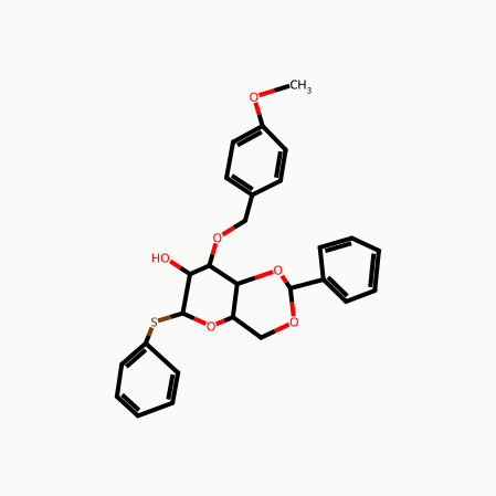 COc1ccc(COC2C(O)C(Sc3ccccc3)OC3COC(c4ccccc4)OC32)cc1